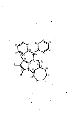 CC1=C(C)C(C)[C]([Ti]([NH]C2CCCCCC2)[SiH](c2ccccc2)c2ccccc2)=C1C